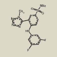 CNS(=O)(=O)c1ccc(Nc2cc(F)cc(F)c2)c(-c2nnnn2C)c1